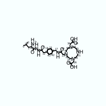 CC(C)C[C@@H](N)C(=O)NNC(=O)Cc1ccc(CNC(=O)CN2CCN(CC(=O)O)CCNCCN(CC(=O)O)CC2)cc1